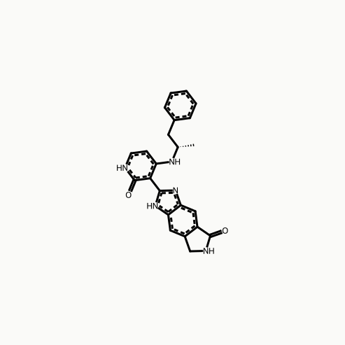 C[C@@H](Cc1ccccc1)Nc1cc[nH]c(=O)c1-c1nc2cc3c(cc2[nH]1)CNC3=O